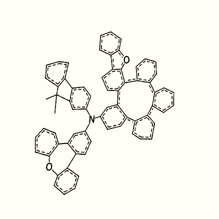 CC1(C)c2ccccc2-c2ccc(N(c3ccc4c(c3)-c3ccccc3Oc3ccccc3-4)c3ccc4c5ccccc5c5ccccc5c5ccccc5c5c(ccc6c7ccccc7oc65)c4c3)cc21